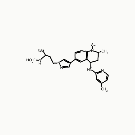 CC(=O)N1c2ccc(-c3cnn(CCC(NC(=O)O)C(C)(C)C)c3)cc2[C@H](Nc2cc(C)ccn2)C[C@@H]1C